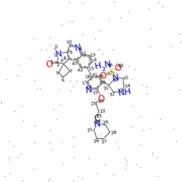 CN1C(=O)C2(CCC2)c2c1cnc1ccc(-c3cnc(OCCCN4CCCCC4)c(C4CNCCN4S(N)(=O)=O)c3)cc21